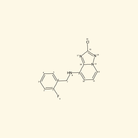 Fc1ccccc1CNc1cccn2nc(Cl)nc12